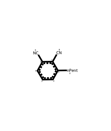 CCCCCc1cccc(C#N)c1C#N